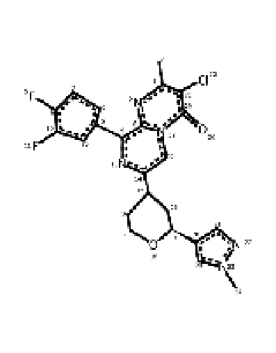 Cc1nc2c(-c3ccc(F)c(F)c3)nc([C@@H]3CCO[C@H](c4cnn(C)c4)C3)cn2c(=O)c1Cl